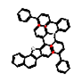 c1ccc(-c2ccc(-c3ccccc3N(c3ccc(-c4ccccc4)cc3)c3ccccc3-c3cccc4c3oc3c5ccccc5ccc43)cc2)cc1